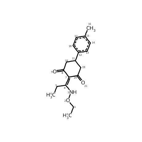 CCONC(CC)=C1C(=O)CC(c2ccc(C)cc2)CC1=O